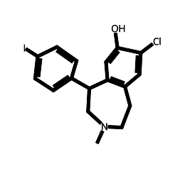 CN1CCc2cc(Cl)c(O)cc2C(c2ccc(I)cc2)C1